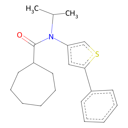 CC(C)N(C(=O)C1CCCCCC1)c1csc(-c2ccccc2)c1